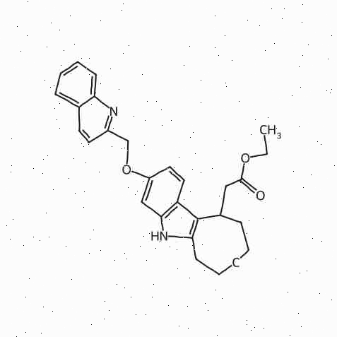 CCOC(=O)CC1CCCCCc2[nH]c3cc(OCc4ccc5ccccc5n4)ccc3c21